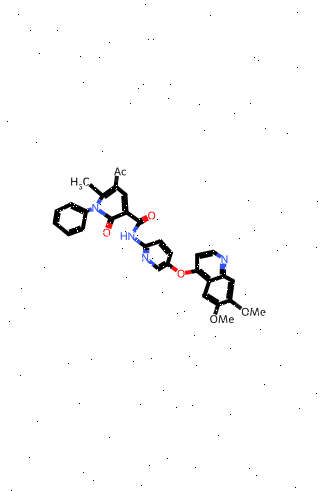 COc1cc2nccc(Oc3ccc(NC(=O)c4cc(C(C)=O)c(C)n(-c5ccccc5)c4=O)nc3)c2cc1OC